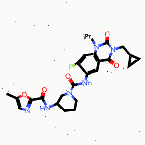 Cc1cnc(C(=O)NC2CCCN(C(=O)Nc3cc4c(=O)n(CC5CC5)c(=O)n(C(C)C)c4cc3F)C2)o1